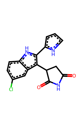 O=C1CC(c2c(-c3ccc[nH]3)[nH]c3ccc(Cl)cc23)C(=O)N1